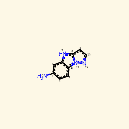 Nc1ccc2c(c1)[nH]c1ccnn12